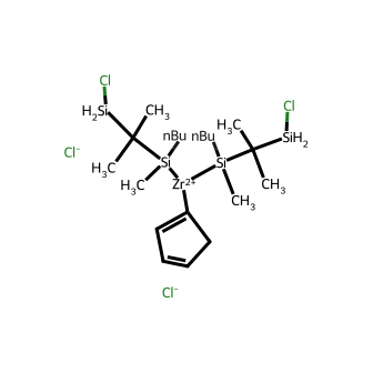 CCCC[Si](C)([Zr+2]([C]1=CC=CC1)[Si](C)(CCCC)C(C)(C)[SiH2]Cl)C(C)(C)[SiH2]Cl.[Cl-].[Cl-]